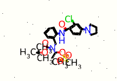 CCC(OS(C)(=O)=O)N(Cc1ccccc1NC(=O)c1ccc(N2CCCC2)cc1Cl)C(=O)OC(C)(C)C